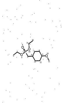 CCOP(=O)(CC1CCC(OC)CC1)OCC